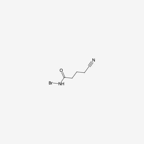 N#CCCCC(=O)NBr